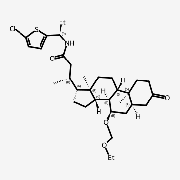 CCOCO[C@@H]1C[C@@H]2CC(=O)CC[C@]2(C)[C@H]2CC[C@]3(C)[C@@H]([C@H](C)CC(=O)N[C@H](CC)c4ccc(Cl)s4)CC[C@H]3[C@H]12